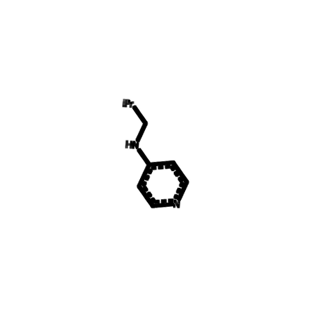 CC(C)CNc1ccncc1